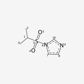 CC(C)S(=O)(=O)n1ccnc1